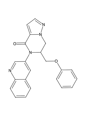 O=C1c2ccnn2CC(COc2ccccc2)N1c1cnc2ccccc2c1